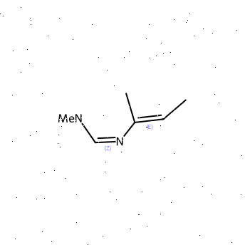 C/C=C(C)/N=C\NC